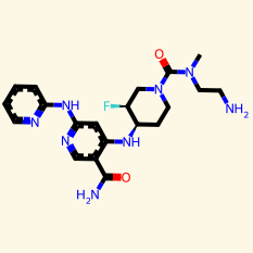 CN(CCN)C(=O)N1CC[C@@H](Nc2cc(Nc3ccccn3)ncc2C(N)=O)[C@@H](F)C1